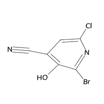 N#Cc1cc(Cl)nc(Br)c1O